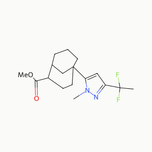 COC(=O)C1CCC2(c3cc(C(C)(F)F)nn3C)CCCC1C2